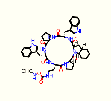 O=CNOC(=O)NCC[C@@H]1NC(=O)[C@H](Cc2c[nH]c3ccccc23)NC(=O)C2(CCCC2)NC(=O)[C@H](Cc2c[nH]c3ccccc23)NC(=O)[C@@H]2C[C@@H]3CCCC[C@@H]3N2C(=O)[C@H]2CCCN2C1=O